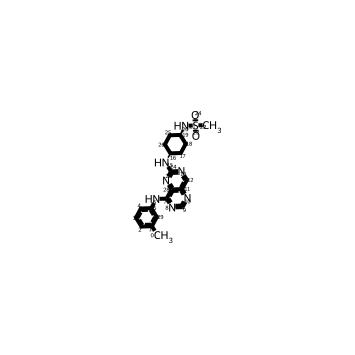 Cc1cccc(Nc2ncnc3cnc(N[C@H]4CC[C@H](NS(C)(=O)=O)CC4)nc23)c1